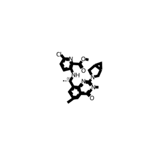 COC(=O)c1nc(Cl)ccc1N[C@@H](C)c1cc(C)cc2c(=O)n(C)c(N3CC4CC4C3)nc12